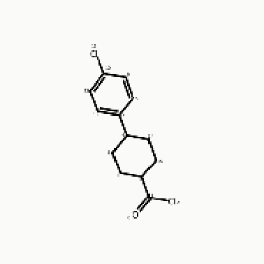 O=C(Cl)C1CCC(c2ccc(Cl)cc2)CC1